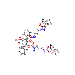 CC(C)(C)OC(=O)NCCCNC(=O)OC1C(c2ccccc2)=C2OCOC2=C(c2ccccc2)C1OC(=O)NCCCNC(=O)OC(C)(C)C